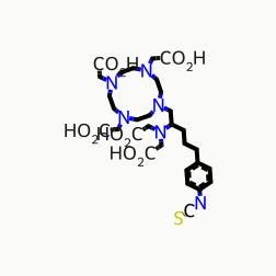 O=C(O)CN1CCN(CC(=O)O)CCN(CC(CCCc2ccc(N=C=S)cc2)N(CC(=O)O)CC(=O)O)CCN(CC(=O)O)CC1